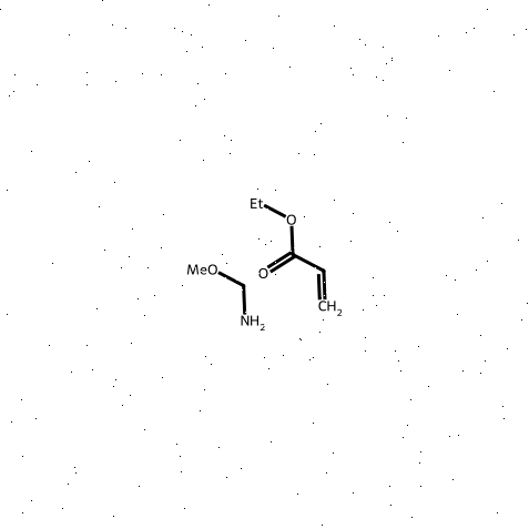 C=CC(=O)OCC.COCN